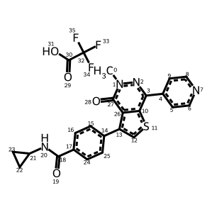 Cn1nc(-c2ccncc2)c2scc(-c3ccc(C(=O)NC4CC4)cc3)c2c1=O.O=C(O)C(F)(F)F